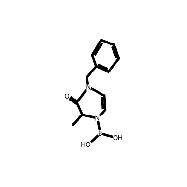 CC1C(=O)N(Cc2ccccc2)C=CN1B(O)O